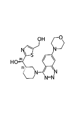 OCc1cnc([C@H](O)[C@H]2CCCN(c3nnnc4cc(N5CCOCC5)ccc34)C2)s1